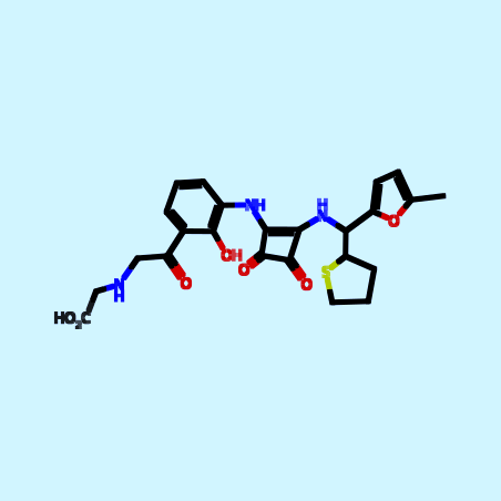 Cc1ccc(C(Nc2c(Nc3cccc(C(=O)CNCC(=O)O)c3O)c(=O)c2=O)C2CCCS2)o1